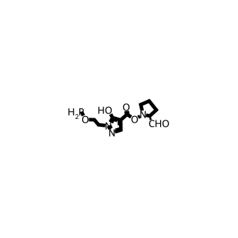 O=C[C@@H]1CCCN1OC(=O)c1cnn(CCOP)c1O